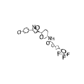 O=C(CO[C@H]1C[C@@H](OC(F)(F)F)C1)N[C@H]1CC[C@H](c2cc(-c3ccc(Cl)cc3)no2)OC1